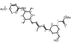 COC(=O)C[C@@H]1C[C@@H](CO)C[C@@H](/C=C/C(C)=C/C[C@@H]2O[C@H](C)[C@H](NC(=O)/C=C\[C@H](C)OC(C)=O)C[C@@H]2C)O1